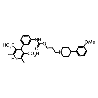 COc1cccc(C2CCN(CCCOC(=O)Nc3cccc(C4C(C(=O)O)=C(C)NC(C)=C4C(=O)O)c3)CC2)c1